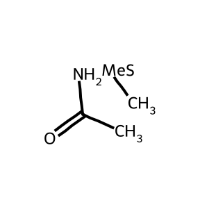 CC(N)=O.CSC